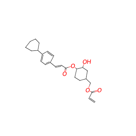 C=CC(=O)OCC1CCC(OC(=O)/C=C/c2ccc(C3CCCCC3)cc2)C(O)C1